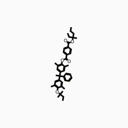 CCCC(C)(CC)OC(=O)c1ccc(C(=O)Oc2c(C)cc(C(C)(c3ccccc3)c3cc(C)c(OC(C)(C)CC)c(C)c3)cc2C)cc1